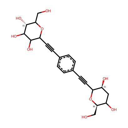 OCC1OC(C#Cc2ccc(C#CC3O[C@H](CO)C(O)C[C@@H]3O)cc2)C(O)C(O)[C@@H]1O